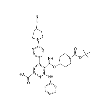 CC(C)(C)OC(=O)N1CCC(OC(=N)c2c(-c3ccc(N4CCC(C#N)CC4)nc3)cc(C(=O)O)nc2Nc2ccccc2)CC1